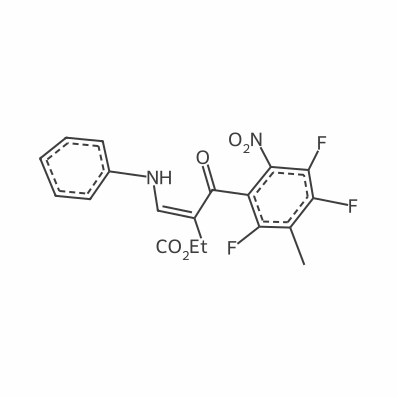 CCOC(=O)C(=CNc1ccccc1)C(=O)c1c(F)c(C)c(F)c(F)c1[N+](=O)[O-]